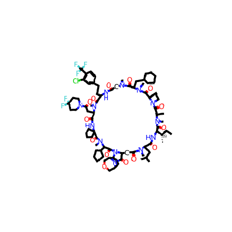 CC[C@H](C)C1NC(=O)C(CC(C)C)N(C)C(=O)CC(C(=O)N2C3CCC2COC3)N(C)C(=O)C(C2CCCC2)N(C)C(=O)C2(CCCC2)NC(=O)C(CC(=O)N2CCC(F)(F)CC2)N(C)C(=O)C(CCc2ccc(C(F)(F)F)c(Cl)c2)NC(=O)CN(C)C(=O)C(CC2CCCCC2)N(C)C(=O)C2CCN2C(=O)C(C)N(C)C1=O